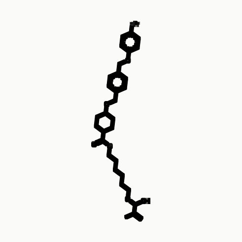 C=C(C)C(O)OCCCCCCOC(=O)C1CCC(OCc2ccc(COc3ccc(CCC)cc3)cc2)CC1